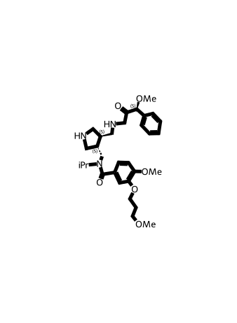 COCCCOc1cc(C(=O)N(C[C@@H]2CNC[C@H]2CNCC(=O)[C@@H](OC)c2ccccc2)C(C)C)ccc1OC